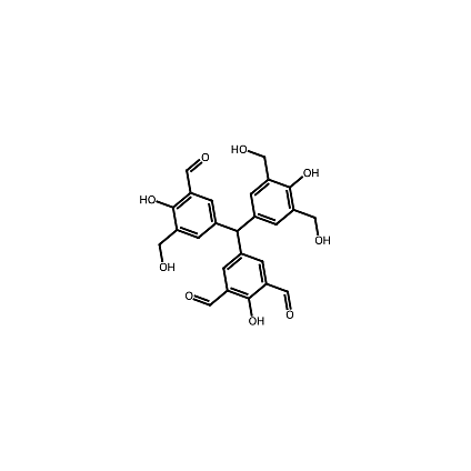 O=Cc1cc(C(c2cc(C=O)c(O)c(CO)c2)c2cc(CO)c(O)c(CO)c2)cc(C=O)c1O